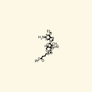 CCOc1nc(N)nc2c1ncn2[C@@H]1O[C@@H]2COP(=O)(OCCCC(=O)OC(C)C)O[C@H]2[C@@]1(C)OC(C)=O